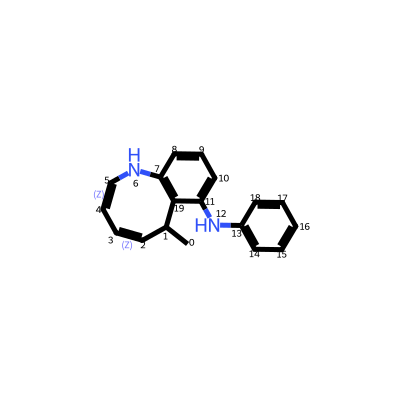 CC1/C=C\C=C/Nc2cccc(Nc3ccccc3)c21